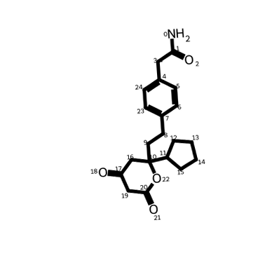 NC(=O)[CH]c1ccc(CCC2(C3CCCC3)CC(=O)CC(=O)O2)cc1